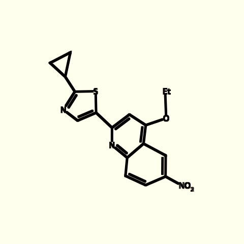 CCOc1cc(-c2cnc(C3CC3)s2)nc2ccc([N+](=O)[O-])cc12